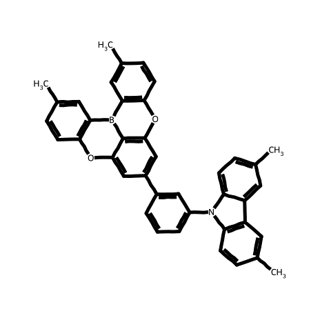 Cc1ccc2c(c1)B1c3cc(C)ccc3Oc3cc(-c4cccc(-n5c6ccc(C)cc6c6cc(C)ccc65)c4)cc(c31)O2